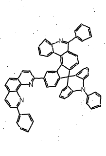 c1ccc(-c2ccc3ccc4ccc(-c5ccc6c(c5)-c5c(ccc7c(-c8ccccc8)nc8ccccc8c57)C65c6ccccc6N(c6ccccc6)c6ccccc65)nc4c3n2)cc1